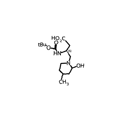 CC1CCN(C[C@H](CC(=O)O)NC(=O)OC(C)(C)C)C(O)C1